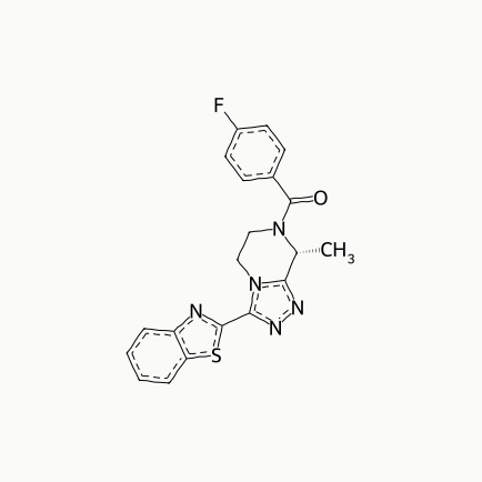 C[C@@H]1c2nnc(-c3nc4ccccc4s3)n2CCN1C(=O)c1ccc(F)cc1